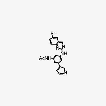 CC(=O)Nc1cc(Nc2ncc3cc(Br)ccc3n2)cc(-c2cccnc2)c1